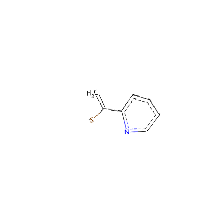 C=C([S])c1ccccn1